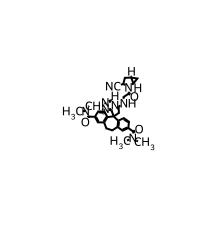 CN(C)C(=O)c1ccc2c(c1)CCc1cc(C(=O)N(C)C)ccc1C2(CCNCC(=O)N1C(C#N)C[C@@H]2C[C@@H]21)c1nnc[nH]1